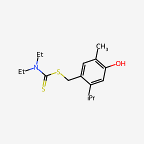 CCN(CC)C(=S)SCc1cc(C)c(O)cc1C(C)C